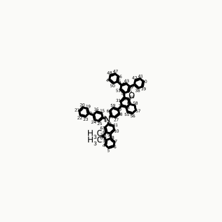 CC1(C)c2ccccc2-c2ccc(N(c3ccc(-c4ccccc4)cc3)c3ccc(-c4cc5c(oc6c(-c7ccccc7)cc(-c7ccccc7)cc65)c5c4C=CCC5)cc3)cc21